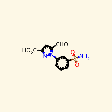 NS(=O)(=O)c1cccc(-n2nc(C(=O)O)cc2C=O)c1